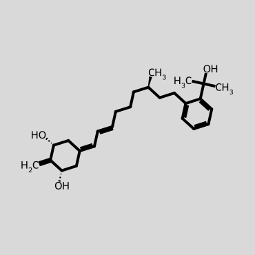 C=C1[C@H](O)C/C(=C\C=C\CCC[C@@H](C)CCc2ccccc2C(C)(C)O)C[C@@H]1O